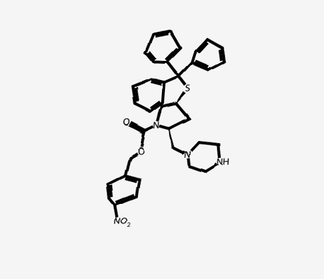 O=C(OCc1ccc([N+](=O)[O-])cc1)N1C[C@@H](SC(c2ccccc2)(c2ccccc2)c2ccccc2)C[C@H]1CN1CCNCC1